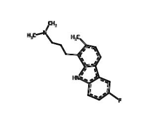 Cc1ccc2c([nH]c3ccc(F)cc32)c1CCCN(C)C